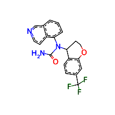 NC(=O)N(c1cccc2cnccc12)C1CCOc2cc(C(F)(F)F)ccc21